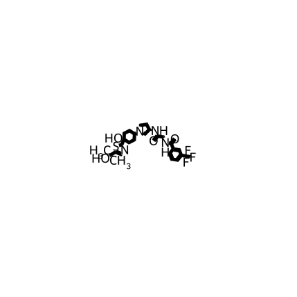 CC(C)(O)c1cnc(C2(O)CCC(N3CC[C@@H](NC(=O)CNC(=O)c4cccc(C(F)(F)F)c4)C3)CC2)s1